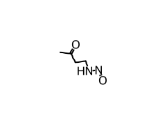 CC(=O)CCNN=O